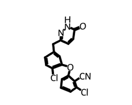 N#Cc1c(Cl)cccc1Oc1cc(Cc2ccc(=O)[nH]n2)ccc1Cl